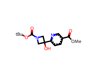 COC(=O)c1ccc(C2(O)CN(C(=O)OC(C)(C)C)C2)nc1